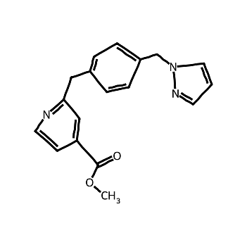 COC(=O)c1ccnc(Cc2ccc(Cn3cccn3)cc2)c1